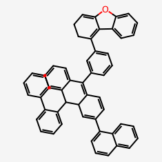 C1=CC2=C(c3cccc(C4=c5c(oc6ccccc56)=CCC4)c3)c3ccccc3C(c3ccccc3-c3ccccc3)C2C=C1c1cccc2ccccc12